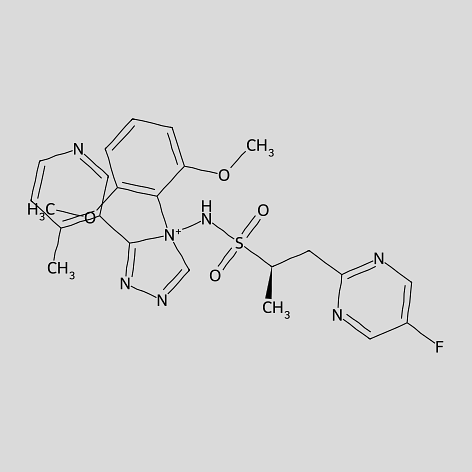 COc1cccc(OC)c1[N+]1(NS(=O)(=O)[C@H](C)Cc2ncc(F)cn2)C=NN=C1c1cnccc1C